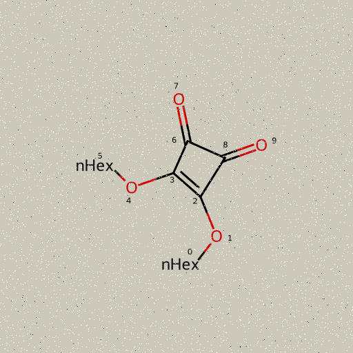 CCCCCCOc1c(OCCCCCC)c(=O)c1=O